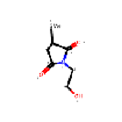 CSC1CC(=O)N(CCO)C1=O